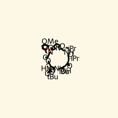 CC[C@H](C)[C@H]1NC(=O)[C@@H](NC(=O)OC(C)(C)C)[C@@H](C)OC(=O)[C@H](Cc2ccc(OC)cc2)N(C)C(=O)C2CCCN2C(=O)[C@H](CC(C)C)NC(=O)[C@H](C(C)C)CC(=O)C[C@@H]1O